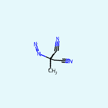 CC(C#N)(C#N)N=[N]